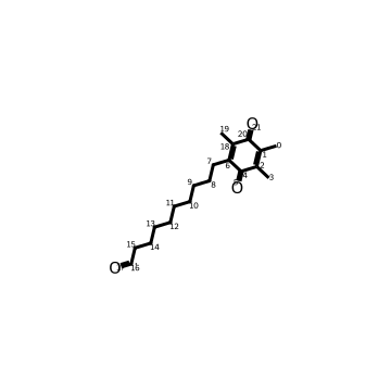 CC1=C(C)C(=O)C(CCCCCCCCC[C]=O)=C(C)C1=O